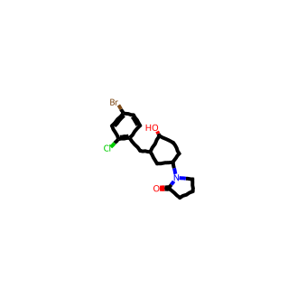 O=C1CCCN1C1CCC(O)C(Cc2ccc(Br)cc2Cl)C1